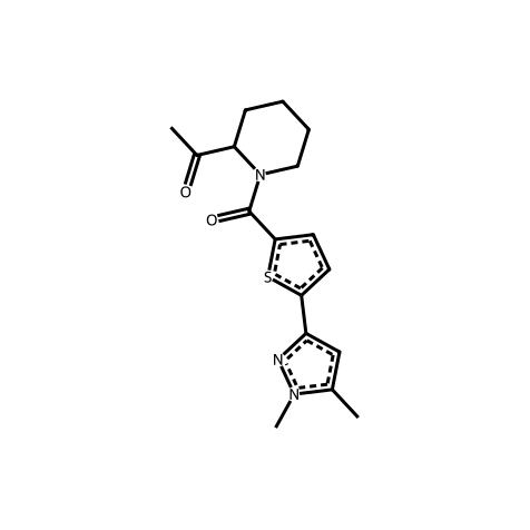 CC(=O)C1CCCCN1C(=O)c1ccc(-c2cc(C)n(C)n2)s1